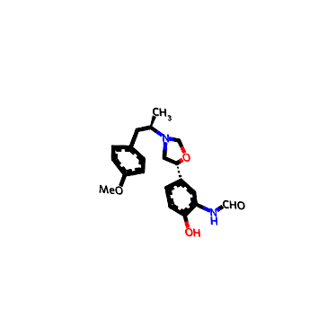 COc1ccc(C[C@@H](C)N2CO[C@H](c3ccc(O)c(NC=O)c3)C2)cc1